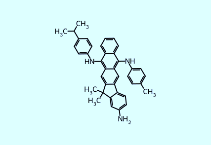 Cc1ccc(Nc2c3ccccc3c(Nc3ccc(C(C)C)cc3)c3cc4c(cc23)-c2ccc(N)cc2C4(C)C)cc1